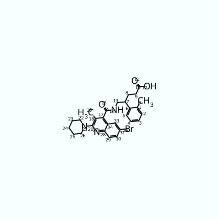 Cc1ccccc1C(CCC(=O)O)CNC(=O)c1c(C)c(N2CCCCC2)nc2ccc(Br)cc12